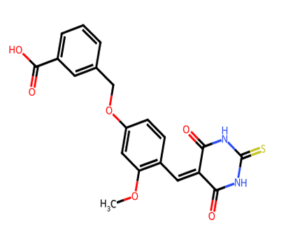 COc1cc(OCc2cccc(C(=O)O)c2)ccc1C=C1C(=O)NC(=S)NC1=O